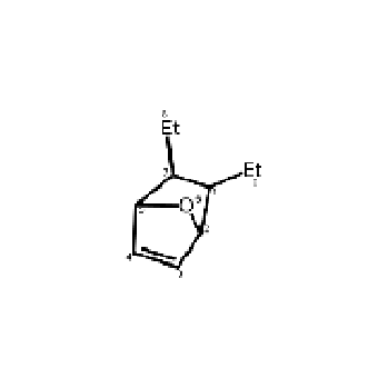 CCC1C2C=CC(O2)C1CC